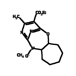 C.CCOC(=O)c1c(C)nc2nc1OC1CCCCCC1[S+]2[O-]